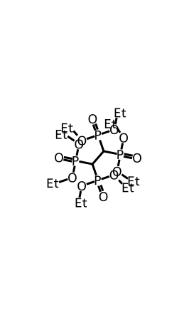 CCOP(=O)(OCC)C(C(P(=O)(OCC)OCC)P(=O)(OCC)OCC)P(=O)(OCC)OCC